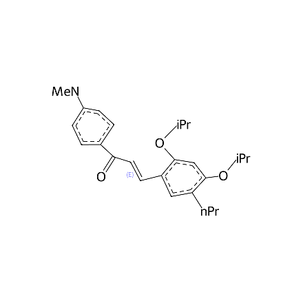 CCCc1cc(/C=C/C(=O)c2ccc(NC)cc2)c(OC(C)C)cc1OC(C)C